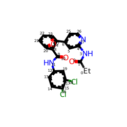 CCC(=O)Nc1cc(-c2c(C(=O)Nc3ccc(Cl)c(Cl)c3)c3ccc2o3)ccn1